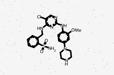 COc1cc(N2CCNCC2)ccc1Nc1ncc(Cl)c(NCc2ccccc2S(N)(=O)=O)n1